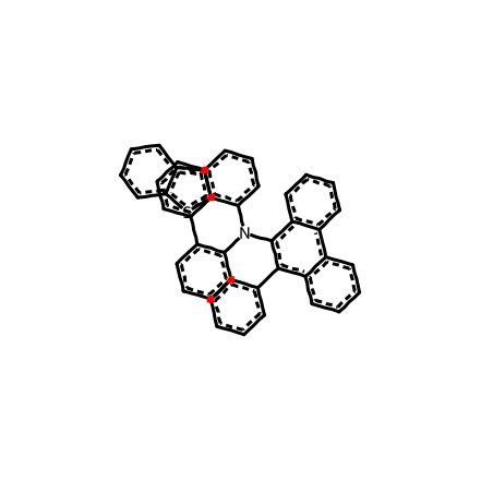 c1ccc(-c2ccccc2N(c2c(-c3ccccc3)c3ccccc3c3ccccc23)c2cccc3c2sc2ccccc23)cc1